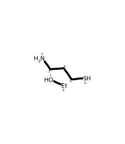 CCO.NCCCS